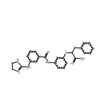 O=C(Nc1cccc(SC(Cc2ccccc2)C(=O)O)c1)c1cccc(NC2=NCCN2)c1